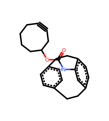 O=C(Nc1cc2ccc1CCc1ccc(cc1)CC2)OC1CC#CCCCC1